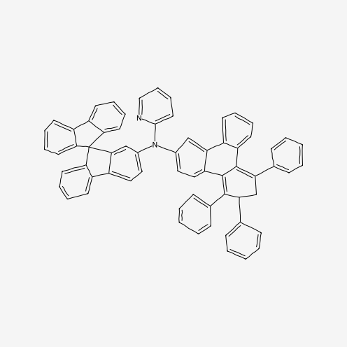 c1ccc(C2=c3c(c4ccc(N(c5ccc6c(c5)C5(c7ccccc7-c7ccccc75)c5ccccc5-6)c5ccccn5)cc4c4ccccc34)=C(c3ccccc3)C(c3ccccc3)C2)cc1